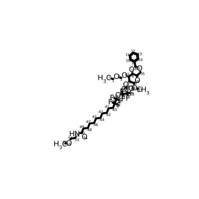 CCOCOC1C2OC(c3ccccc3)OCC2OC(OC)C1OS(=O)(=O)C(F)(F)C(F)(F)OC(F)(F)C(F)(F)CCCCCCCCCCC(=O)NCCOC